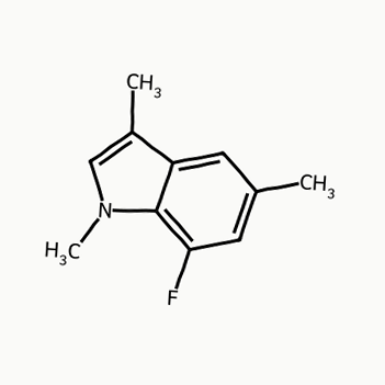 Cc1cc(F)c2c(c1)c(C)cn2C